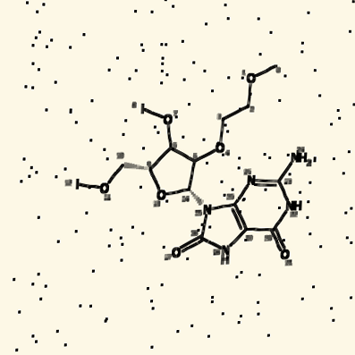 COCCOC1C(OI)[C@@H](COI)O[C@H]1n1c(=O)[nH]c2c(=O)[nH]c(N)nc21